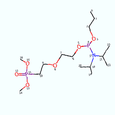 CCCOP(OCCOCCP(=O)(OC)OC)N(C(C)C)C(C)C